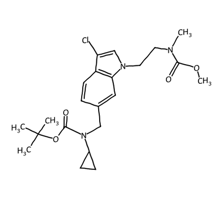 COC(=O)N(C)CCn1cc(Cl)c2ccc(CN(C(=O)OC(C)(C)C)C3CC3)cc21